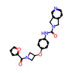 O=C(Nc1ccc(OC2CN(C(=O)c3ccco3)C2)cc1)N1Cc2ccncc2C1